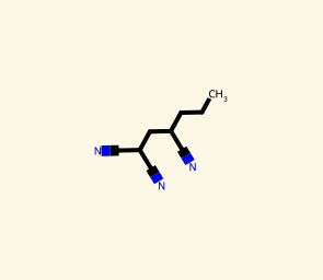 CCCC(C#N)CC(C#N)C#N